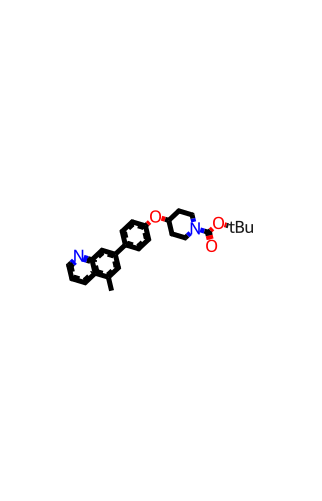 Cc1cc(-c2ccc(OC3CCN(C(=O)OC(C)(C)C)CC3)cc2)cc2ncccc12